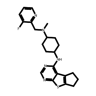 CN(Cc1ncccc1F)C1CCC(Nc2ncnc3sc4c(c23)CCC4)CC1